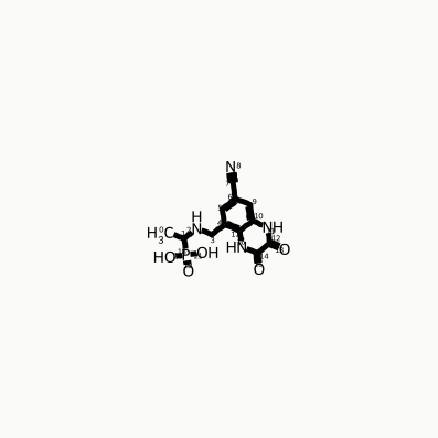 CC(NCc1cc(C#N)cc2[nH]c(=O)c(=O)[nH]c12)P(=O)(O)O